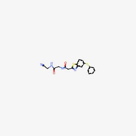 N#CCNC(=O)CNC(=O)Cc1nc2cc(Sc3ccccc3)ccc2s1